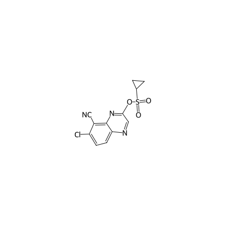 N#Cc1c(Cl)ccc2ncc(OS(=O)(=O)C3CC3)nc12